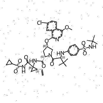 C=C[C@@H]1C[C@]1(NC(=O)[C@@H]1C[C@@H](Oc2ncc(OC)c3ccc(Cl)cc23)CN1C(=O)[C@@H](Nc1ccc(S(=O)(=O)NC(C)(C)C)cc1)C(C)(C)C)C(=O)NS(=O)(=O)C1CC1